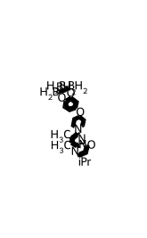 BC1(B)Oc2ccc(OC3CCN(c4nn5c(=O)cc(C(C)C)nc5c(C)c4C)CC3)cc2OC1(B)B